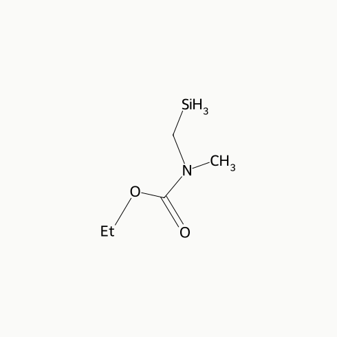 CCOC(=O)N(C)C[SiH3]